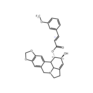 O=C(/C=C/c1cccc(OC(F)(F)F)c1)O[C@H]1C2c3cc4c(cc3CN3CCC(=C[C@@H]1O)C23)OCO4